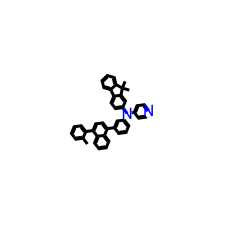 Cc1ccccc1-c1ccc(-c2cccc(N(c3ccncc3)c3ccc4c(c3)C(C)(C)c3ccccc3-4)c2)c2ccccc12